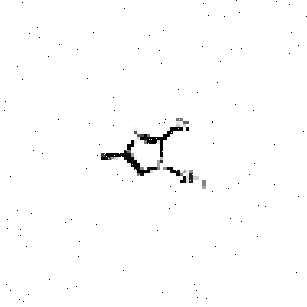 CCc1nc(C)cn1[SiH3]